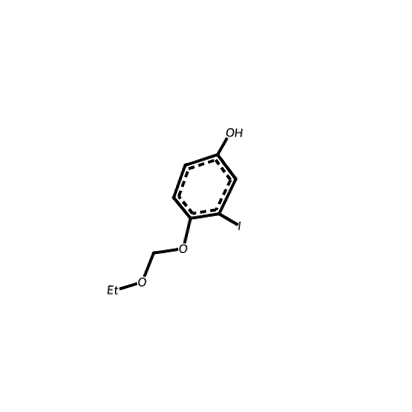 CCOCOc1ccc(O)cc1I